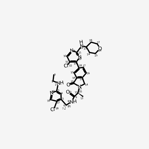 CCNc1cc([C@@H](C)NC(=O)[C@H](C)N2Cc3ccc(-c4nc(NC5CCOCC5)ncc4Cl)cc3C2=O)c(Cl)cn1